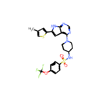 Cc1csc(-c2cc3c(N4CCC(NS(=O)(=O)c5ccc(OC(F)(F)F)cc5)CC4)ncnc3[nH]2)c1